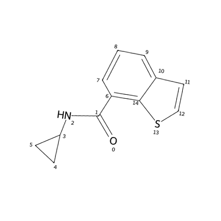 O=C(NC1CC1)c1cccc2ccsc12